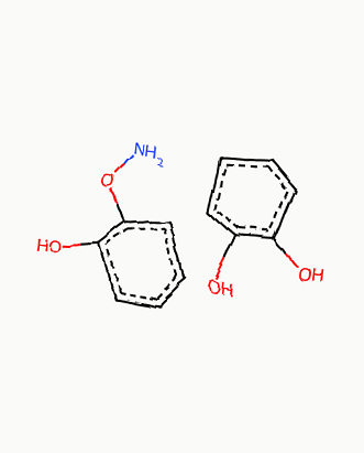 NOc1ccccc1O.Oc1ccccc1O